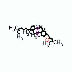 CC(C)CCCCC1CCC2C1(C)CCC1C3(C)CCC(CC(=O)CC(C)C)CC3=CC[PH]12C